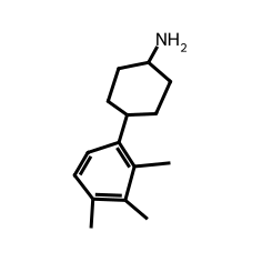 Cc1ccc(C2CCC(N)CC2)c(C)c1C